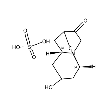 O=C1CN2[C@@H]3CC(O)C[C@@H]2CC1C3.O=S(=O)(O)O